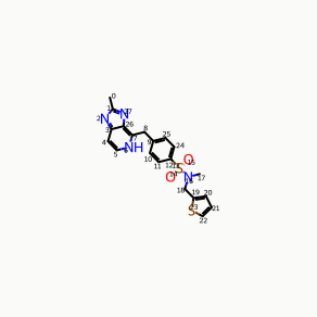 Cc1nc2cc[nH]c(Cc3ccc(S(=O)(=O)N(C)Cc4cccs4)cc3)c-2n1